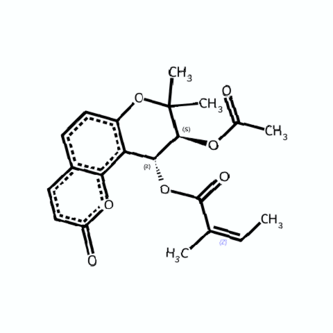 C/C=C(/C)C(=O)O[C@@H]1c2c(ccc3ccc(=O)oc23)OC(C)(C)[C@H]1OC(C)=O